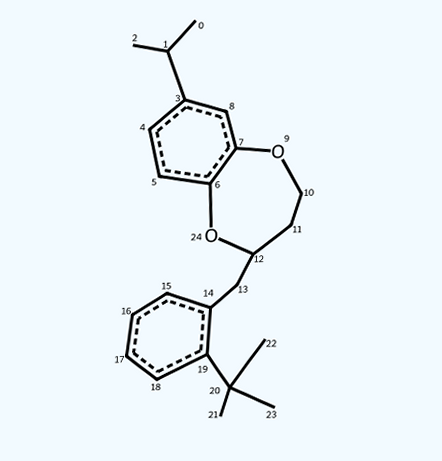 CC(C)c1ccc2c(c1)OCCC(Cc1ccccc1C(C)(C)C)O2